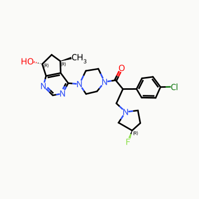 C[C@@H]1C[C@@H](O)c2ncnc(N3CCN(C(=O)C(CN4CC[C@@H](F)C4)c4ccc(Cl)cc4)CC3)c21